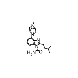 CC(C)CCc1nc2c(N3CC4CC3CN4C)cccc2n1C(N)=O